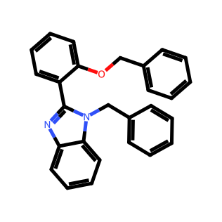 c1ccc(COc2ccccc2-c2nc3ccccc3n2Cc2ccccc2)cc1